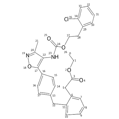 CCOC(=O)Cc1ccccc1Cc1ccc(-c2onc(C)c2NC(=O)OCCc2ccccc2Cl)cc1